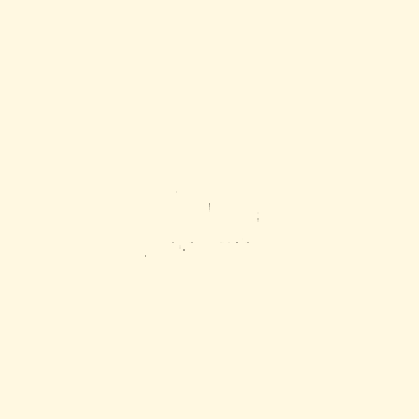 CC1CC(C)(C)Nc2ccc(Cl)cc21